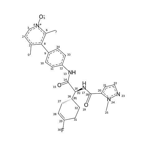 Cc1cc[n+]([O-])c(C)c1-c1ccc(NC(=O)[C@@H](NC(=O)c2ccnn2C)[C@H]2CC=C(F)CC2)cc1